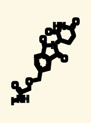 O=C(COCc1ccc2c(c1)C(=O)N(C1CCC(=O)NC1=O)C2=O)NI